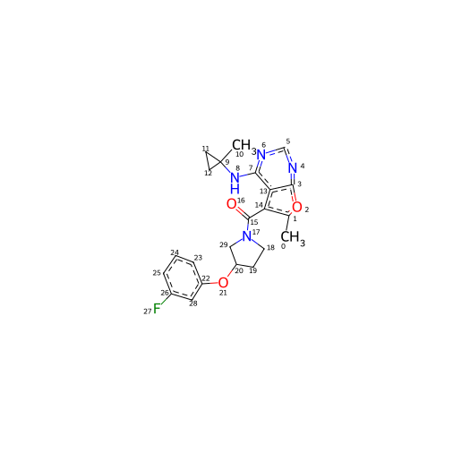 Cc1oc2ncnc(NC3(C)CC3)c2c1C(=O)N1CCC(Oc2cccc(F)c2)C1